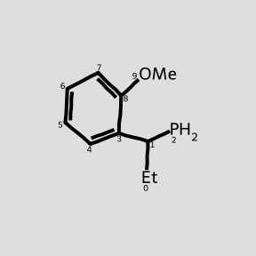 CCC(P)c1ccccc1OC